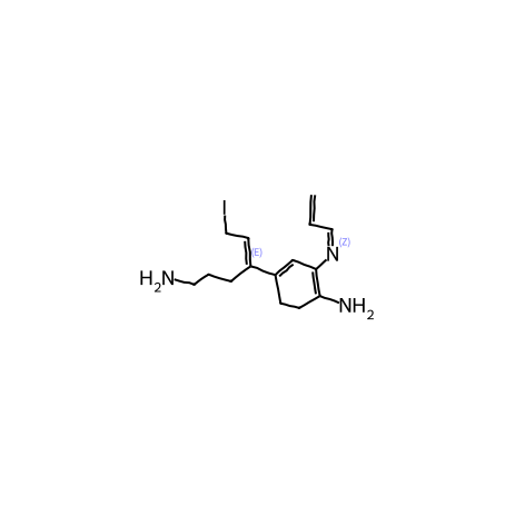 C=C/C=N\C1=C(N)CCC(/C(=C/CI)CCCN)=C1